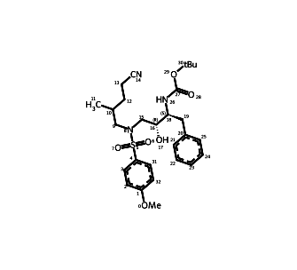 COc1ccc(S(=O)(=O)N(CC(C)CCC#N)C[C@@H](O)[C@H](Cc2ccccc2)NC(=O)OC(C)(C)C)cc1